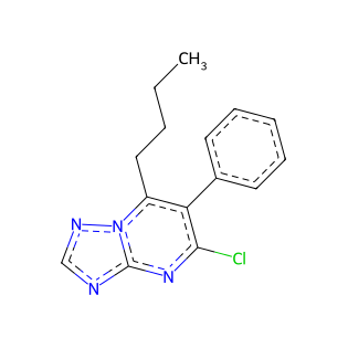 CCCCc1c(-c2ccccc2)c(Cl)nc2ncnn12